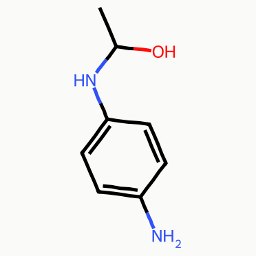 CC(O)Nc1ccc(N)cc1